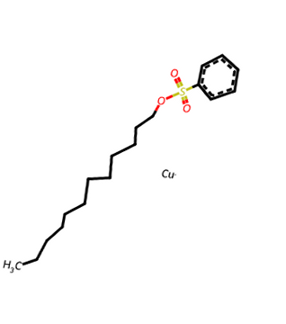 CCCCCCCCCCCCOS(=O)(=O)c1ccccc1.[Cu]